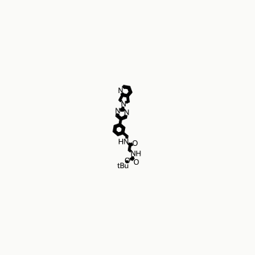 CC(C)(C)OC(=O)NCC(=O)NCc1cccc(-c2cnc(N3Cc4cccnc4C3)nc2)c1